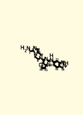 NCc1ncc2n1CCN(c1nc(Nc3ccc4cn[nH]c4c3)nc3ccoc13)C2